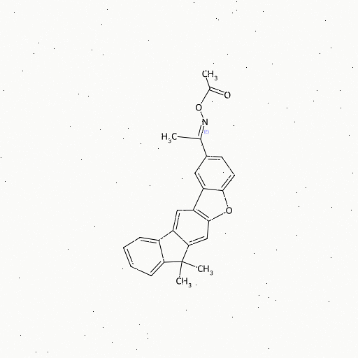 CC(=O)O/N=C(\C)c1ccc2oc3cc4c(cc3c2c1)-c1ccccc1C4(C)C